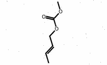 CC=CCOC(=O)OC